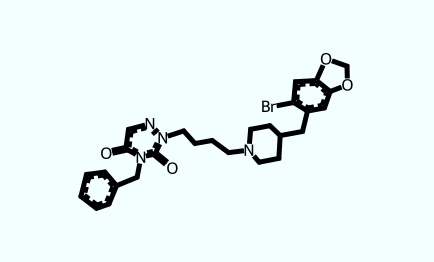 O=c1cnn(CCCCN2CCC(Cc3cc4c(cc3Br)OCO4)CC2)c(=O)n1Cc1ccccc1